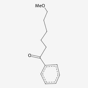 COCCCCCC(=O)c1ccccc1